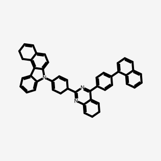 C1=Cc2ccc3c(c2CC1)c1ccccc1n3C1=CCC(c2nc(-c3ccc(-c4cccc5ccccc45)cc3)c3c(n2)=CCCC=3)C=C1